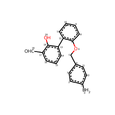 Bc1ccc(COc2ccccc2-c2cccc(C=O)c2O)cc1